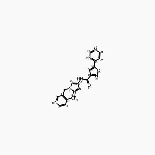 O=C(Nc1cnn(Cc2cnccc2C(F)(F)F)c1)c1cc(-c2ccncn2)on1